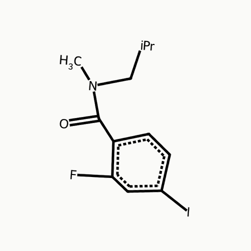 CC(C)CN(C)C(=O)c1ccc(I)cc1F